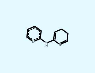 C1=NC(Nc2ccccn2)=CCC1